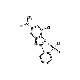 CCS(=O)(=O)c1cccnc1-c1nc2cc([S+]([O-])C(F)(F)F)cc(Cl)c2o1